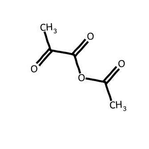 CC(=O)OC(=O)C(C)=O